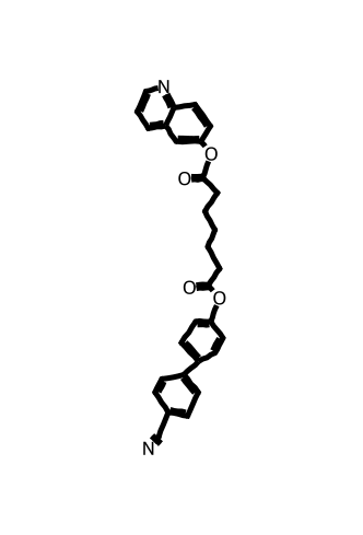 N#Cc1ccc(-c2ccc(OC(=O)CCCCCC(=O)Oc3ccc4ncccc4c3)cc2)cc1